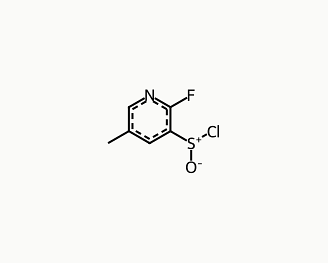 Cc1cnc(F)c([S+]([O-])Cl)c1